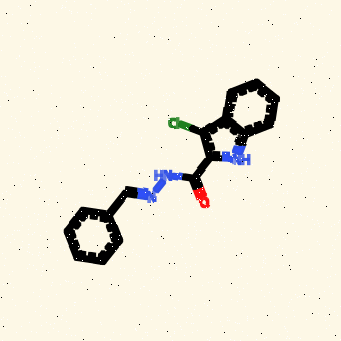 O=C(NN=Cc1ccccc1)c1[nH]c2ccccc2c1Cl